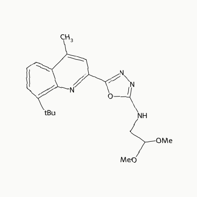 COC(CNc1nnc(-c2cc(C)c3cccc(C(C)(C)C)c3n2)o1)OC